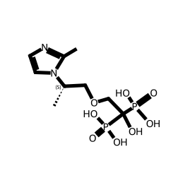 Cc1nccn1[C@@H](C)COCC(O)(P(=O)(O)O)P(=O)(O)O